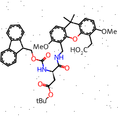 COc1ccc2c(c1CNC(=O)[C@@H](CC(=O)OC(C)(C)C)NC(=O)OCC1c3ccccc3-c3ccccc31)Oc1c(ccc(OC)c1CC(=O)O)C2(C)C